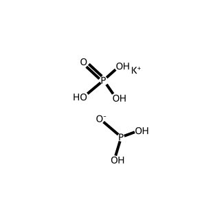 O=P(O)(O)O.[K+].[O-]P(O)O